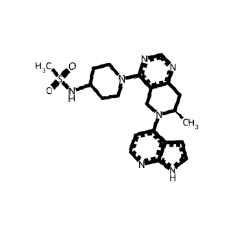 C[C@@H]1Cc2ncnc(N3CCC(NS(C)(=O)=O)CC3)c2CN1c1ccnc2[nH]ccc12